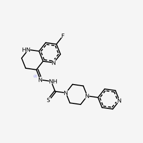 Fc1cnc2c(c1)NCC/C2=N/NC(=S)N1CCN(c2ccncc2)CC1